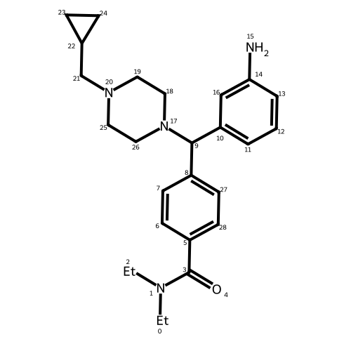 CCN(CC)C(=O)c1ccc(C(c2cccc(N)c2)N2CCN(CC3CC3)CC2)cc1